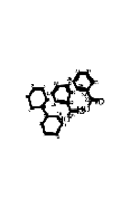 C1CCC(C2CCCCC2)CC1.O=C(O)c1ccccc1.O=C(O)c1ccccc1